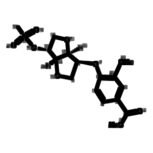 COC(=O)c1ccc(O[C@H]2CO[C@H]3[C@H]2OC[C@H]3OS(C)(=O)=O)c(OC)c1